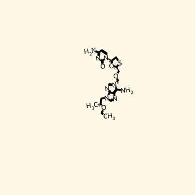 CCO[C@H](C)Cn1cnc2c(N)[n+](COC[C@H]3O[C@@H](n4ccc(N)nc4=O)CS3)cnc21